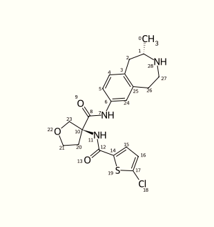 C[C@H]1Cc2ccc(NC(=O)[C@]3(NC(=O)c4ccc(Cl)s4)CCOC3)cc2CCN1